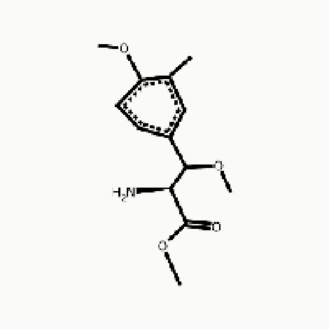 COC(=O)[C@@H](N)C(OC)c1ccc(OC)c(C)c1